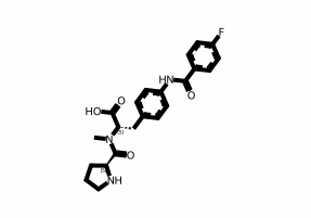 CN(C(=O)[C@@H]1CCCN1)[C@@H](Cc1ccc(NC(=O)c2ccc(F)cc2)cc1)C(=O)O